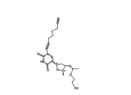 C#CCCCCC#Cc1cn([C@H]2CC(OP(C)OCCC#N)[C@@H](C)O2)c(=O)[nH]c1=O